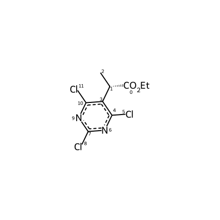 CCOC(=O)[C@@H](C)c1c(Cl)nc(Cl)nc1Cl